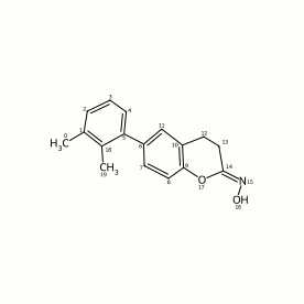 Cc1cccc(-c2ccc3c(c2)CCC(=NO)O3)c1C